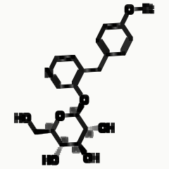 CCOc1ccc(Cc2ccncc2O[C@@H]2O[C@H](CO)[C@@H](O)[C@H](O)[C@H]2O)cc1